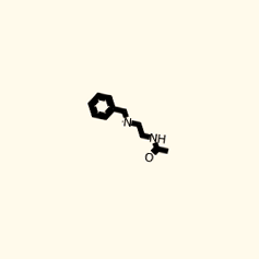 CC(=O)NCC[N]Cc1ccccc1